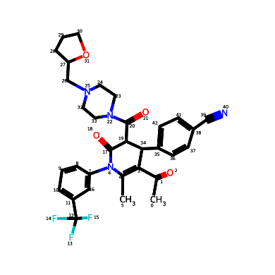 CC(=O)C1=C(C)N(c2cccc(C(F)(F)F)c2)C(=O)C(C(=O)N2CCN(CC3CCCO3)CC2)C1c1ccc(C#N)cc1